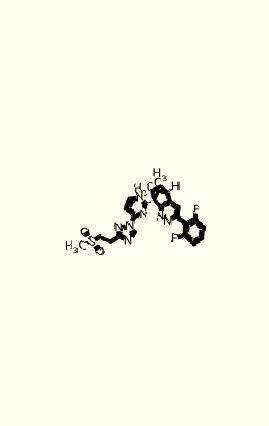 CC1(C)[C@H]2CC[C@]1(c1nccc(-n3cnc(CCS(C)(=O)=O)n3)n1)c1nnc(-c3c(F)cccc3F)cc12